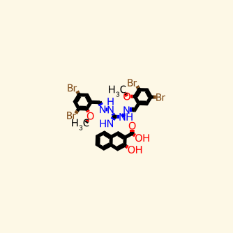 COc1c(Br)cc(Br)cc1/C=N/NC(=N)N/N=C/c1cc(Br)cc(Br)c1OC.O=C(O)c1cc2ccccc2cc1O